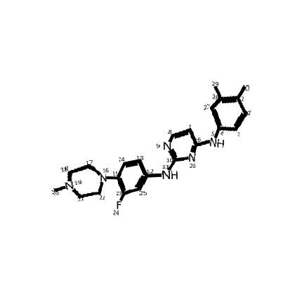 Cc1ccc(Nc2ccnc(Nc3ccc(N4CCN(C)CC4)c(F)c3)n2)cc1C